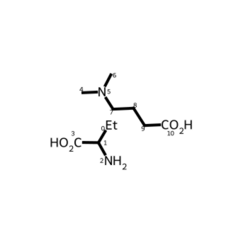 CCC(N)C(=O)O.CN(C)CCCC(=O)O